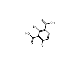 O=C(O)c1ccc(Br)c(C(=O)O)c1Br